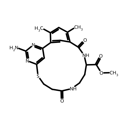 COC(=O)C1CCNC(=O)CCSc2cc(nc(N)n2)-c2cc(c(C)cc2C)C(=O)N1